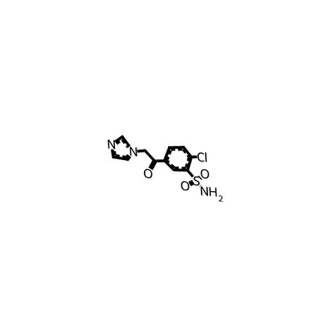 NS(=O)(=O)c1cc(C(=O)Cn2ccnc2)ccc1Cl